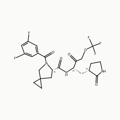 O=C1NCC[C@H]1C[C@H](NC(=O)[C@@H]1CC2(CC2)CN1C(=O)c1cc(F)cc(F)c1)C(=O)COC(F)(F)F